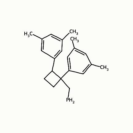 Cc1cc(C)cc(C2CCC2(CP)c2cc(C)cc(C)c2)c1